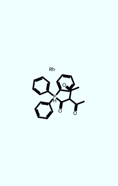 CC(=O)C(C(C)=O)C(=O)[PH](c1ccccc1)(c1ccccc1)c1ccccc1.[Rh]